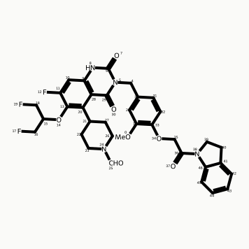 COc1cc(Cn2c(=O)[nH]c3cc(F)c(OC(CF)CF)c(C4CCN(C=O)CC4)c3c2=O)ccc1OCC(=O)N1CCc2ccccc21